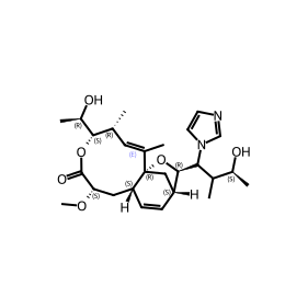 CO[C@H]1C[C@H]2C=C[C@@H]3C[C@]2(O[C@H]3C(C(C)[C@H](C)O)n2ccnc2)/C(C)=C/[C@@H](C)[C@@H]([C@@H](C)O)OC1=O